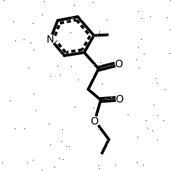 CCOC(=O)CC(=O)c1cnccc1C